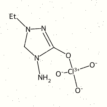 CCN1CN(N)C(O[Cl+3]([O-])([O-])[O-])=N1